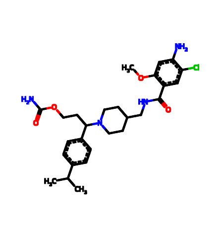 COc1cc(N)c(Cl)cc1C(=O)NCC1CCN(C(CCOC(N)=O)c2ccc(C(C)C)cc2)CC1